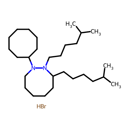 Br.CC(C)CCCCC1CCCCCN(C2CCCCCCC2)N1CCCCC(C)C